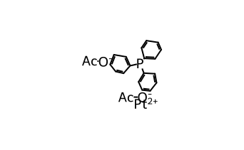 CC(=O)[O-].CC(=O)[O-].[Pt+2].c1ccc(P(c2ccccc2)c2ccccc2)cc1